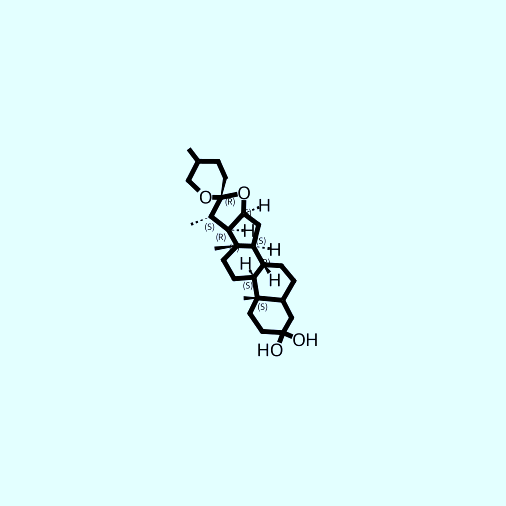 CC1CC[C@@]2(OC1)O[C@H]1C[C@H]3[C@@H]4CCC5CC(O)(O)CC[C@]5(C)[C@H]4CC[C@]3(C)[C@H]1[C@@H]2C